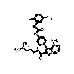 CN(C)CCCNC(=O)c1cn2ncnc(N)c2c1-c1ccc(NC(=O)Nc2cc(C(F)(F)F)ccc2F)cc1